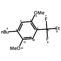 CCCCc1cc(OC)c(C(F)(F)CC)cc1OC